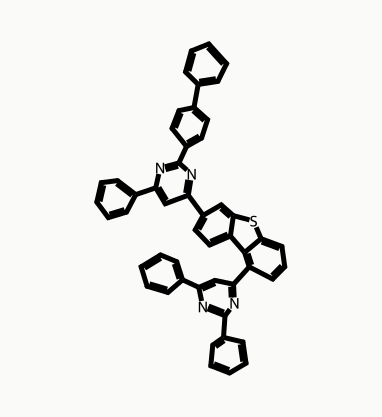 c1ccc(-c2ccc(-c3nc(-c4ccccc4)cc(-c4ccc5c(c4)sc4cccc(-c6cc(-c7ccccc7)nc(-c7ccccc7)n6)c45)n3)cc2)cc1